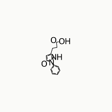 O=C(O)CCc1cc(=O)n(-c2ccccc2)[nH]1